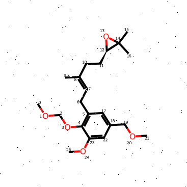 COCOc1c(C/C=C(\C)CC[C@H]2OC2(C)C)cc(COC)cc1OC